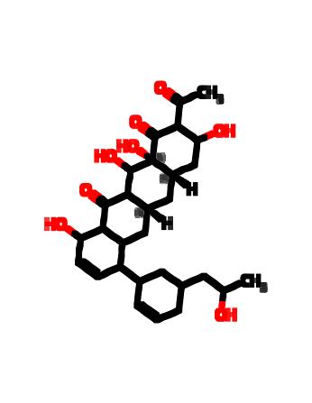 CC(=O)C1C(=O)[C@@]2(O)C(O)C3C(=O)C4C(O)C=CC(C5C=CCC(CC(C)O)C5)C4C[C@H]3C[C@H]2CC1O